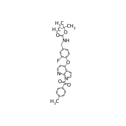 Cc1ccc(S(=O)(=O)n2ccc3c(Oc4ccc(CNC(=O)OC(C)(C)C)cc4F)ccnc32)cc1